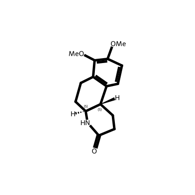 COc1ccc2c(c1OC)CC[C@@H]1NC(=O)CC[C@@H]21